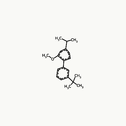 COc1cc(C(C)C)ccc1-c1cccc(C(C)(C)C)c1